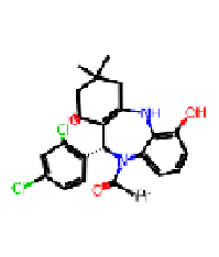 CC(C)C(=O)N1c2cccc(O)c2NC2=C(C(=O)CC(C)(C)C2)[C@H]1c1ccc(Cl)cc1Cl